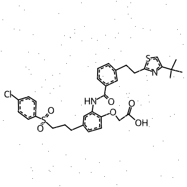 CC(C)(C)c1csc(CCc2cccc(C(=O)Nc3cc(CCCS(=O)(=O)c4ccc(Cl)cc4)ccc3OCC(=O)O)c2)n1